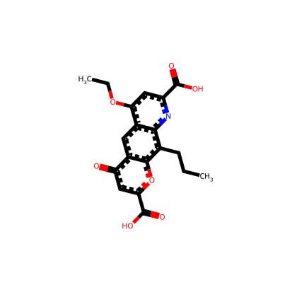 CCCc1c2nc(C(=O)O)cc(OCC)c2cc2c(=O)cc(C(=O)O)oc12